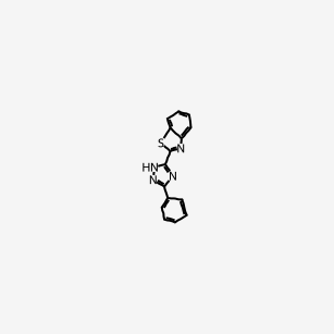 c1ccc(-c2n[nH]c(-c3nc4ccccc4s3)n2)cc1